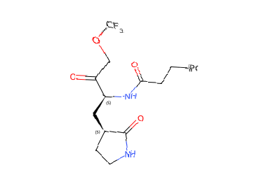 CC(C)CCC(=O)N[C@@H](C[C@@H]1CCNC1=O)C(=O)COC(F)(F)F